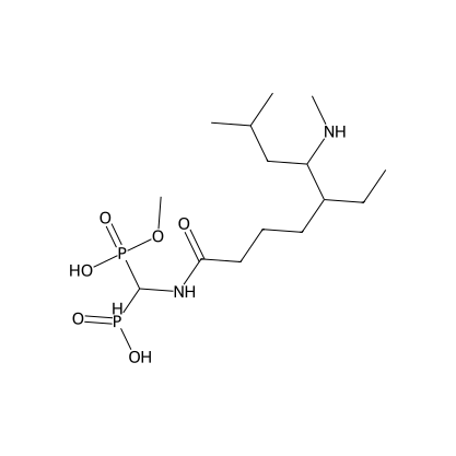 CCC(CCCC(=O)NC([PH](=O)O)P(=O)(O)OC)C(CC(C)C)NC